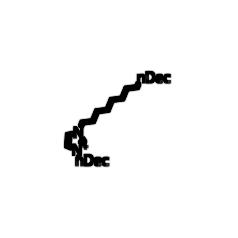 CCCCCCCCCCCCCCCCCCn1cc[n+](CCCCCCCCCC)c1